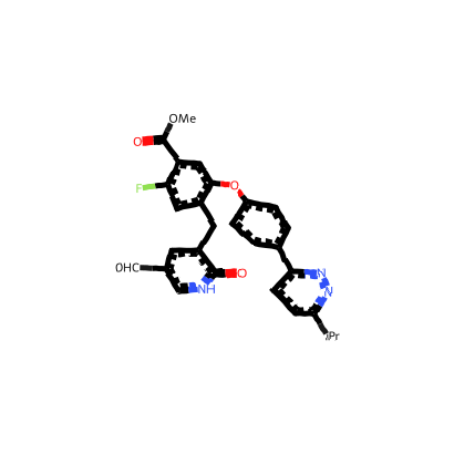 COC(=O)c1cc(Oc2ccc(-c3ccc(C(C)C)nn3)cc2)c(Cc2cc(C=O)c[nH]c2=O)cc1F